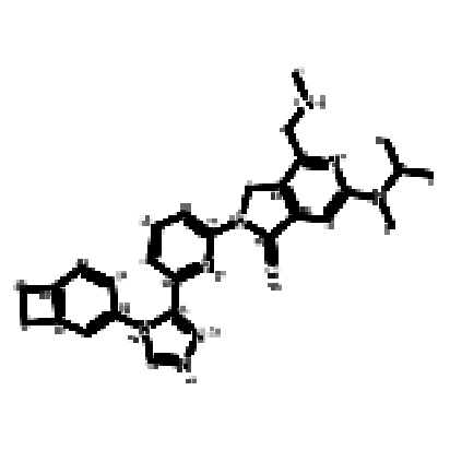 CNCc1nc(N(C)C(C)C)cc2c1CN(c1cccc(-c3nncn3-c3ccc4c(c3)CC4)n1)C2=O